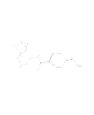 NCC1CCC(C(=O)Nc2ncnc3[nH]nnc23)CC1